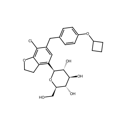 OC[C@H]1O[C@@H](c2cc(Cc3ccc(OC4CCC4)cc3)c(Cl)c3c2CCO3)[C@H](O)[C@@H](O)[C@@H]1O